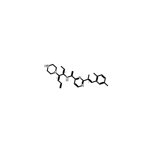 C=C/C=C(\C(=C/C)NC(=C)c1ccnc(/C(C)=C/c2cc(C)ccc2C)n1)N1CCNCC1